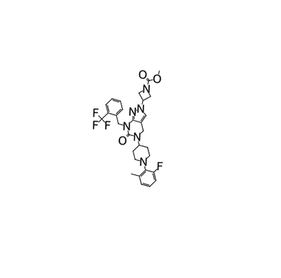 COC(=O)N1CC(n2cc3c(n2)N(Cc2ccccc2C(F)(F)F)C(=O)N(C2CCN(c4c(C)cccc4F)CC2)C3)C1